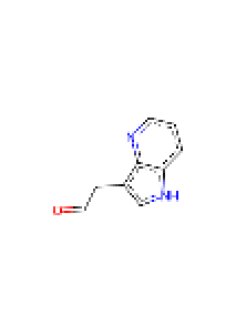 O=CCc1c[nH]c2cccnc12